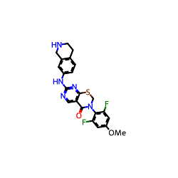 COc1cc(F)c(N2CSc3nc(Nc4ccc5c(c4)CNCC5)ncc3C2=O)c(F)c1